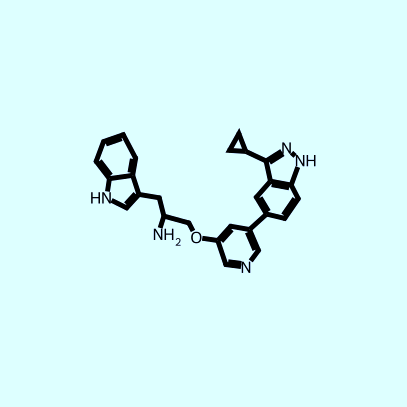 NC(COc1cncc(-c2ccc3[nH]nc(C4CC4)c3c2)c1)Cc1c[nH]c2ccccc12